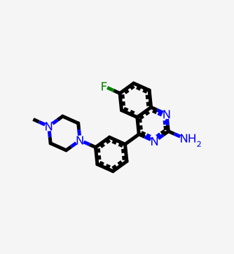 CN1CCN(c2cccc(-c3nc(N)nc4ccc(F)cc34)c2)CC1